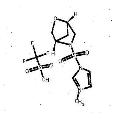 C[n+]1ccn(S(=O)(=O)N2C[C@@H]3C[C@H]2CO3)c1.O=S(=O)(O)C(F)(F)F